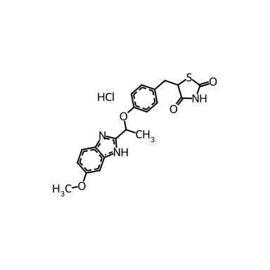 COc1ccc2nc(C(C)Oc3ccc(CC4SC(=O)NC4=O)cc3)[nH]c2c1.Cl